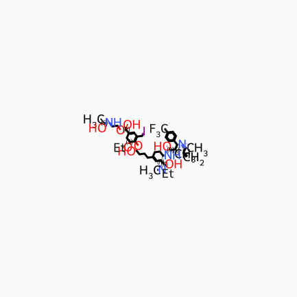 C=C/C(C)=N\C(c1ccc(C(F)(F)F)cc1)[C@H](C)[C@@H](O)NC1CCC(CCCC(O)OC2=C(CI)C=C([C@H](O)OCCN[C@H](C)O)C[C@@H]2OCC)=C[C@H]1[C@H](O)N(C)CC